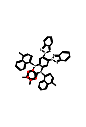 Cc1ccc(N(c2cc(-n3nc4ccccc4n3)c(-n3nc4ccccc4n3)cc2N(c2ccc(C)cc2)c2ccc(C)c3ccccc23)c2ccc(C)c3ccccc23)cc1